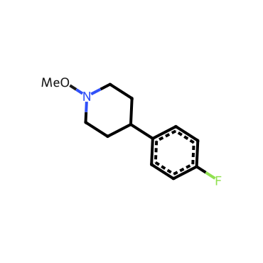 CON1CCC(c2ccc(F)cc2)CC1